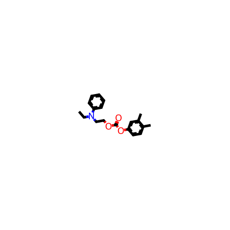 CCN(CCOC(=O)Oc1ccc(C)c(C)c1)c1ccccc1